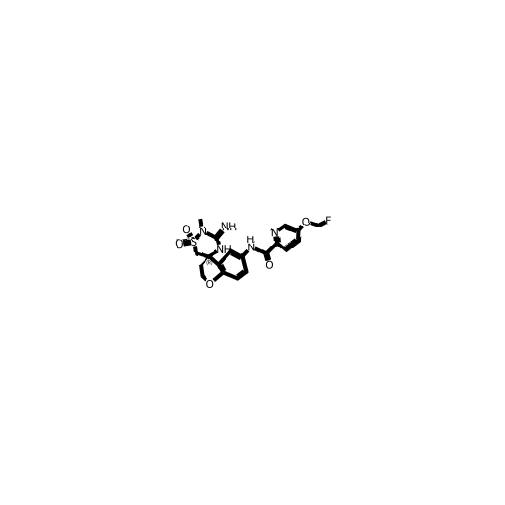 CN1C(=N)N[C@@]2(CCOc3ccc(NC(=O)c4ccc(OCF)cn4)cc32)CS1(=O)=O